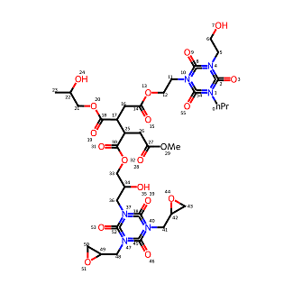 CCCn1c(=O)n(CCO)c(=O)n(CCOC(=O)CC(C(=O)OCC(C)O)C(CC(=O)OC)C(=O)OCC(O)Cn2c(=O)n(CC3CO3)c(=O)n(CC3CO3)c2=O)c1=O